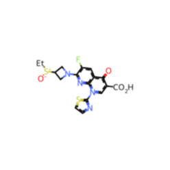 CC[S+]([O-])C1CN(c2nc3c(cc2F)c(=O)c(C(=O)O)cn3-c2nccs2)C1